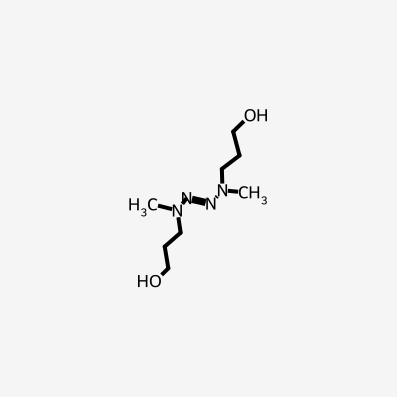 CN(CCCO)/N=N/N(C)CCCO